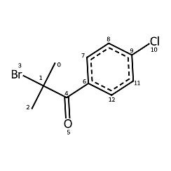 CC(C)(Br)C(=O)c1ccc(Cl)cc1